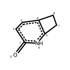 O=c1ccc2c([nH]1)CC2